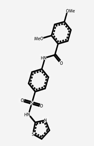 COc1ccc(C(=O)Nc2ccc(S(=O)(=O)Nc3nccs3)cc2)c(OC)c1